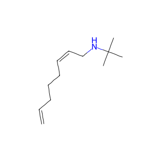 C=CCCC/C=C\CNC(C)(C)C